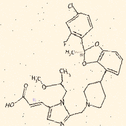 COC(C)Cn1c(/C=C/C(=O)O)cnc1CN1CCC(c2cccc3c2O[C@@](C)(c2ccc(Cl)cc2F)O3)CC1